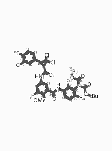 COc1c(F)cc(NC(=O)C2C(c3ccc(F)c(Cl)c3)C2(Cl)Cl)cc1C(=O)Nc1ccc(F)c(N(C(=O)OC(C)(C)C)C(=O)OC(C)(C)C)c1F